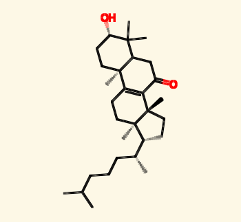 CC(C)CCC[C@@H](C)[C@H]1CC[C@@]2(C)C3=C(CC[C@]12C)[C@@]1(C)CC[C@H](O)C(C)(C)C1CC3=O